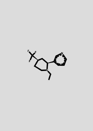 CCN1CC[C@@H](C(F)(F)F)C[C@H]1c1cccnc1